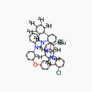 [2H]c1c([2H])c([2H])c(-c2cccc(-c3c([2H])c([2H])c([2H])c([2H])c3[2H])c2-[n+]2cn(-c3cccc(Oc4ccc5c6c(Cl)cccc6n(-c6cc(C(C)(C)C)ccn6)c5c4)c3)c3ccccc32)c([2H])c1[2H].[Cl-]